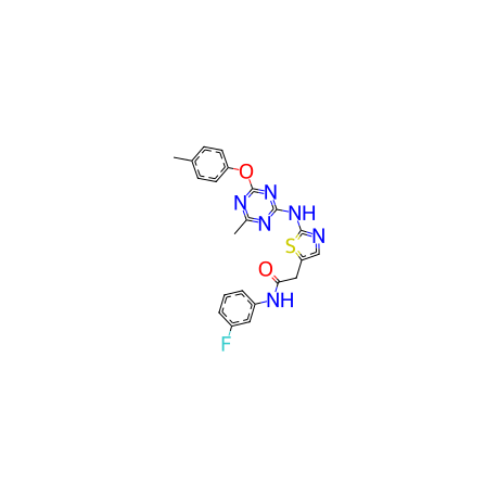 Cc1ccc(Oc2nc(C)nc(Nc3ncc(CC(=O)Nc4cccc(F)c4)s3)n2)cc1